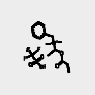 C=CC(=O)OC(C)[N+](C)(C)Cc1ccccc1.O=S(=O)(O)C(F)(F)F